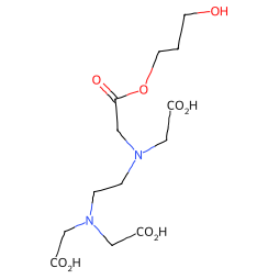 O=C(O)CN(CCN(CC(=O)O)CC(=O)OCCCO)CC(=O)O